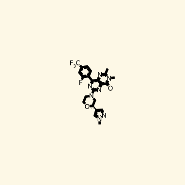 Cc1nc2c(-c3ccc(C(F)(F)F)cc3F)nc(N3CCO[C@H](c4cnn(C)c4)C3)nc2c(=O)n1C